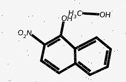 CO.O=[N+]([O-])c1ccc2ccccc2c1O